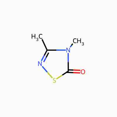 Cc1nsc(=O)n1C